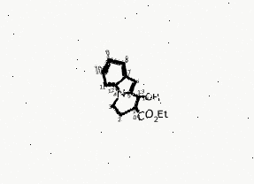 CCOC(=O)C1CCn2c(cc3ccccc32)C1O